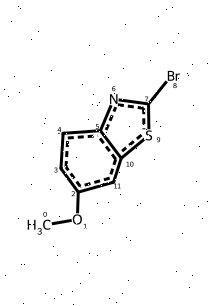 COc1c[c]c2nc(Br)sc2c1